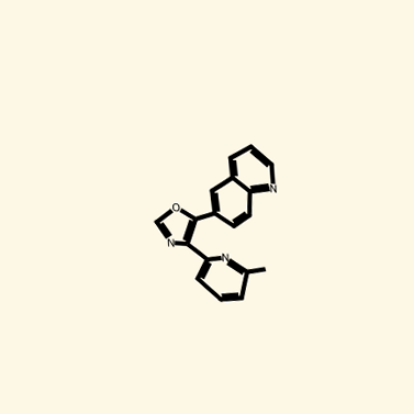 Cc1cccc(-c2ncoc2-c2ccc3ncccc3c2)n1